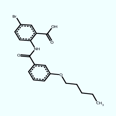 CCCCCOc1cccc(C(=O)Nc2ccc(Br)cc2C(=O)O)c1